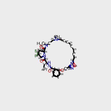 CC(C)C[C@H]1NC(=O)c2ccccc2OCc2noc(n2)CCCCCCCCN(C)CCN(C)C(=O)[C@H]2CC(F)(F)CN2C1=O